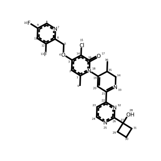 Cc1cc(OCc2ncc(F)cc2F)c(Cl)c(=O)n1C1=CC(c2ccnc(C3(O)CCC3)n2)=NCC1C